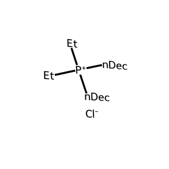 CCCCCCCCCC[P+](CC)(CC)CCCCCCCCCC.[Cl-]